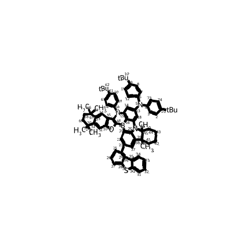 CC(C)(C)c1ccc(N(c2ccc(C(C)(C)C)cc2)c2cc3c4c(c2)N2c5c(cc(-c6cccc7sc8ccccc8c67)cc5C5(C)CCCCC25C)B4c2oc4cc5c(cc4c2N3c2ccc(C(C)(C)C)cc2)C(C)(C)CCC5(C)C)cc1